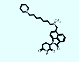 CN(CCCCCCCN1CCCCC1)Cc1ccc2c3c(cccc13)C(=O)N2C1CCC(=O)NC1=O